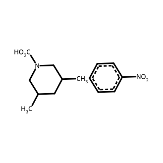 CC1CC(C)CN(C(=O)O)C1.O=[N+]([O-])c1ccccc1